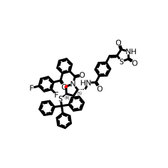 O=C1NC(=O)C(=Cc2ccc(C(=O)NC[C@@H]3C[C@@H](SC(c4ccccc4)(c4ccccc4)c4ccccc4)CN3C(=O)c3ccccc3C(=O)c3ccc(F)cc3F)cc2)S1